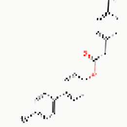 Cc1ccc(CC(=O)Oc2ccc(-c3ccc(C)cc3)cc2)cc1